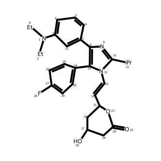 CCN(CC)c1cccc(-c2nc(C(C)C)n(C=CC3CC(O)CC(=O)O3)c2-c2ccc(F)cc2)c1